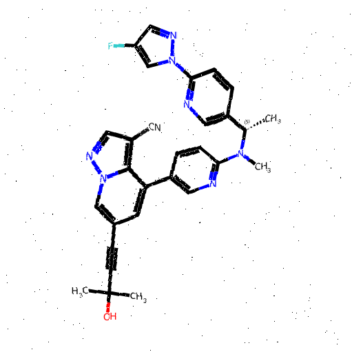 C[C@@H](c1ccc(-n2cc(F)cn2)nc1)N(C)c1ccc(-c2cc(C#CC(C)(C)O)cn3ncc(C#N)c23)cn1